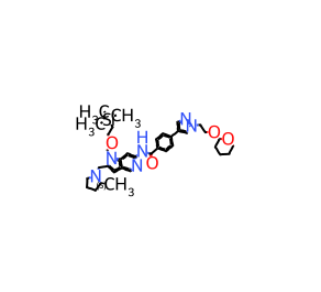 C[C@H]1CCCN1Cc1cc2cnc(NC(=O)c3ccc(-c4cnn(CCOC5CCCCO5)c4)cc3)cc2n1COCC[Si](C)(C)C